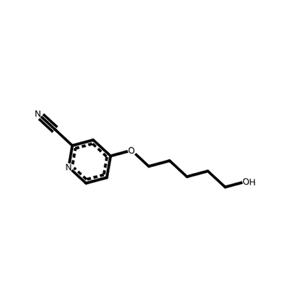 N#Cc1cc(OCCCCCO)ccn1